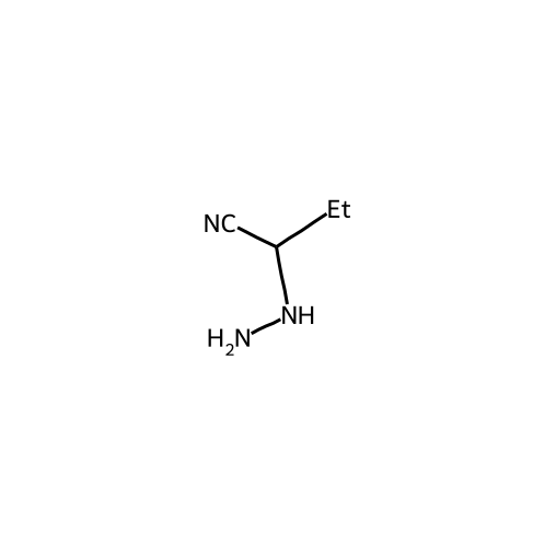 CCC(C#N)NN